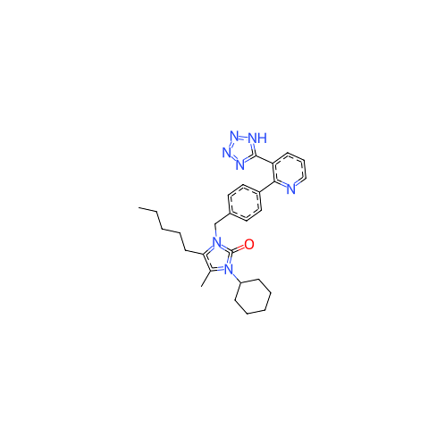 CCCCCc1c(C)n(C2CCCCC2)c(=O)n1Cc1ccc(-c2ncccc2-c2nnn[nH]2)cc1